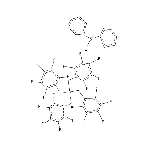 FC(F)(F)[S+](c1ccccc1)c1ccccc1.Fc1c(F)c(F)c(C[B-](Cc2c(F)c(F)c(F)c(F)c2F)(Cc2c(F)c(F)c(F)c(F)c2F)Cc2c(F)c(F)c(F)c(F)c2F)c(F)c1F